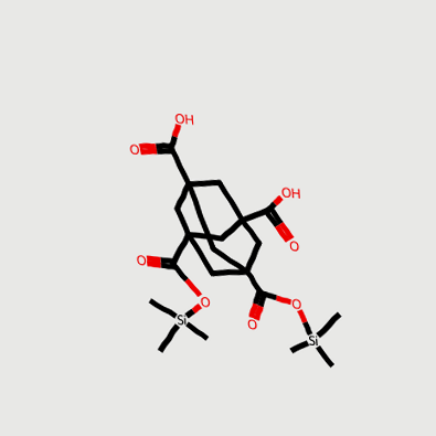 C[Si](C)(C)OC(=O)C12CC3(C(=O)O)CC(C(=O)O)(C1)CC(C(=O)O[Si](C)(C)C)(C3)C2